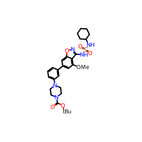 COc1cc(-c2cccc(N3CCN(C(=O)OC(C)(C)C)CC3)c2)cc2onc(NS(=O)(=O)NC3CCCCC3)c12